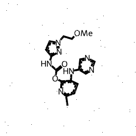 COCCn1ccc(NC(=O)Oc2nc(C)ccc2Nc2cncnc2)n1